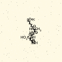 CCCCCCCCCCCCCCCC(=O)N[C@@H](C)C(=O)NCC(=O)N[C@@H](Cc1c[nH]cn1)C(=O)O